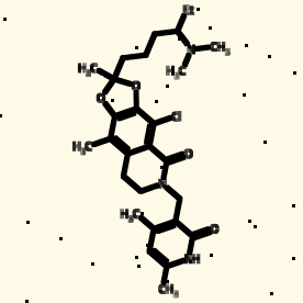 CCC(CCCC1(C)Oc2c(C)c3c(c(Cl)c2O1)C(=O)N(Cc1c(C)cc(C)[nH]c1=O)CC3)N(C)C